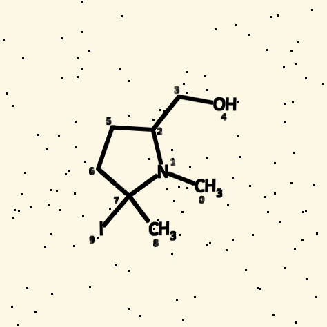 CN1C(CO)CCC1(C)I